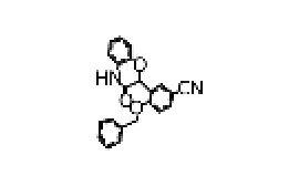 N#Cc1ccc(OCc2ccccc2)c(C2Oc3ccccc3NC2=O)c1